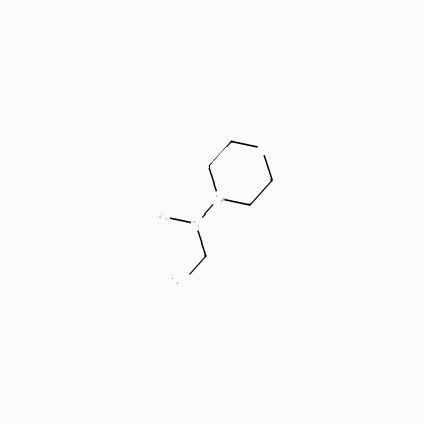 N#CCN(N=O)N1CCSCC1